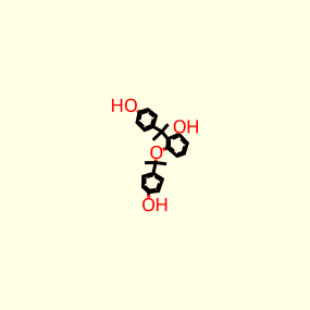 CC(C)(Oc1cccc(O)c1C(C)(C)c1ccc(O)cc1)c1ccc(O)cc1